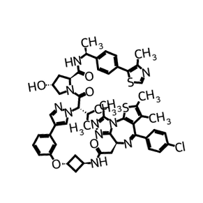 Cc1ncsc1-c1ccc([C@H](C)NC(=O)[C@@H]2C[C@@H](O)CN2C(=O)[C@H](C(C)C)n2cc(-c3cccc(O[C@H]4C[C@H](NC(=O)C[C@@H]5N=C(c6ccc(Cl)cc6)c6c(sc(C)c6C)-n6c(C)nnc65)C4)c3)cn2)cc1